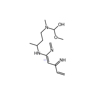 C=CC(=N)/C=C(\N=C)NC(C)CCN(C)C(O)OC